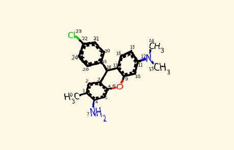 Cc1cc2c(cc1N)Oc1cc(N(C)C)ccc1C2c1ccc(Cl)cc1